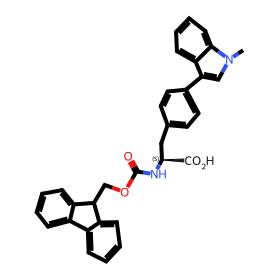 Cn1cc(-c2ccc(C[C@H](NC(=O)OCC3c4ccccc4-c4ccccc43)C(=O)O)cc2)c2ccccc21